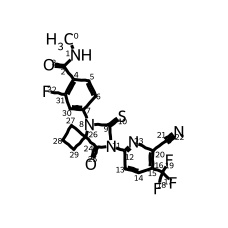 CNC(=O)c1ccc(N2C(=S)N(c3ccc(C(F)(F)F)c(C#N)n3)C(=O)C23CCC3)cc1F